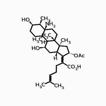 CC(=O)O[C@H]1C[C@@]2(C)[C@@H](C[C@@H](O)[C@@H]3[C@]2(C)CC[C@@]2(N)[C@H](C)[C@H](O)CC[C@]32C)/C1=C(\CCC=C(C)C)C(=O)O